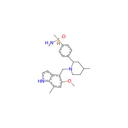 COc1cc(C)c2[nH]ccc2c1CN1CCC(C)CC1c1ccc([SH](C)(N)=O)cc1